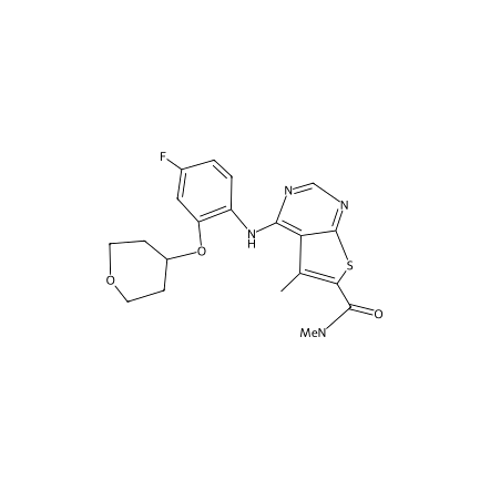 CNC(=O)c1sc2ncnc(Nc3ccc(F)cc3OC3CCOCC3)c2c1C